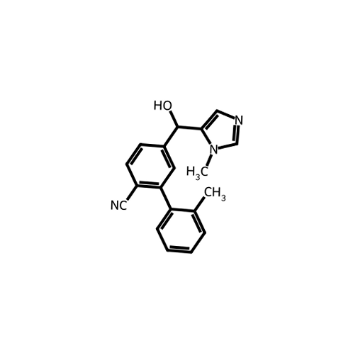 Cc1ccccc1-c1cc(C(O)c2cncn2C)ccc1C#N